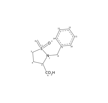 C=S1(=O)CCC(C(=O)O)N1Cc1ccccc1